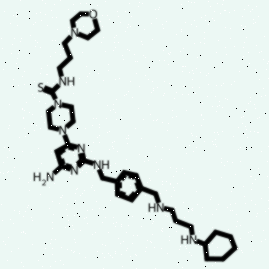 Nc1cc(N2CCN(C(=S)NCCCN3CCOCC3)CC2)nc(NCc2ccc(CNCCCNC3CCCCC3)cc2)n1